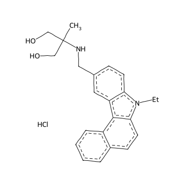 CCn1c2ccc(CNC(C)(CO)CO)cc2c2c3ccccc3ccc21.Cl